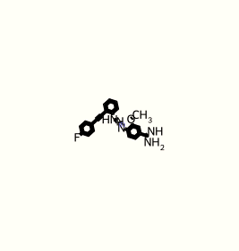 COc1cc(C(=N)N)ccc1/N=N/Nc1ccccc1C#Cc1ccc(F)cc1